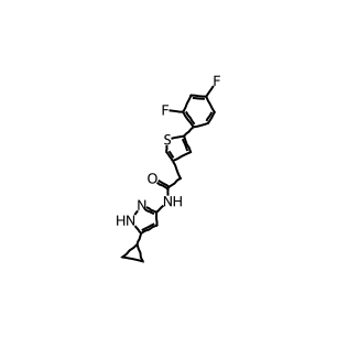 O=C(Cc1csc(-c2ccc(F)cc2F)c1)Nc1cc(C2CC2)[nH]n1